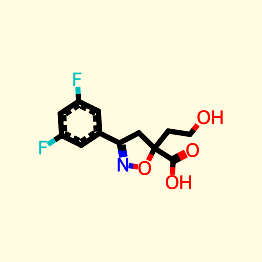 O=C(O)C1(CCO)CC(c2cc(F)cc(F)c2)=NO1